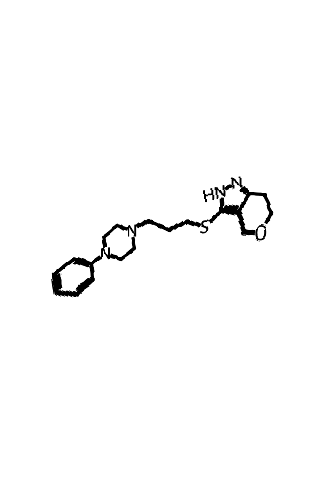 c1ccc(N2CCN(CCCSc3[nH]nc4c3COCC4)CC2)cc1